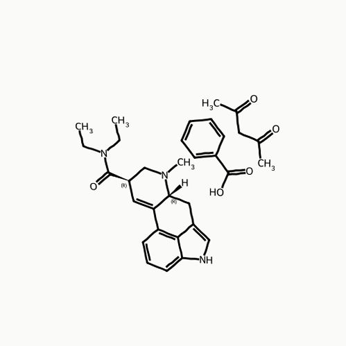 CC(=O)CC(C)=O.CCN(CC)C(=O)[C@@H]1C=C2c3cccc4[nH]cc(c34)C[C@H]2N(C)C1.O=C(O)c1ccccc1